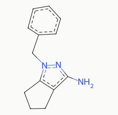 Nc1nn(Cc2ccccc2)c2c1CCC2